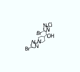 OC(c1nc(Cl)ncc1Br)C1CCN(c2ncc(Br)cn2)CC1